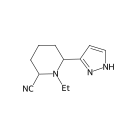 [CH2]CN1C(C#N)CCCC1c1cc[nH]n1